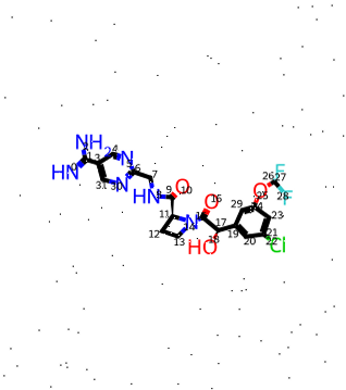 N=C(N)c1cnc(CNC(=O)[C@@H]2CCN2C(=O)[C@H](O)c2cc(Cl)cc(OC(F)F)c2)nc1